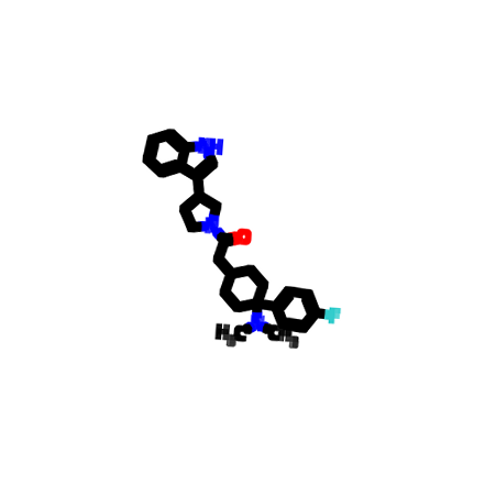 CN(C)C1(c2ccc(F)cc2)CCC(CC(=O)N2CCC(c3c[nH]c4ccccc34)C2)CC1